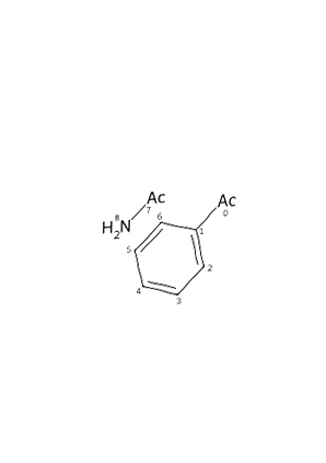 CC(=O)c1ccccc1.CC(N)=O